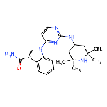 CC1(C)CC(Nc2nccc(-n3cc(C(N)=O)c4ccccc43)n2)CC(C)(C)N1